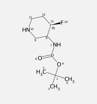 CC(C)(C)OC(=O)NC1CNCC[C@H]1F